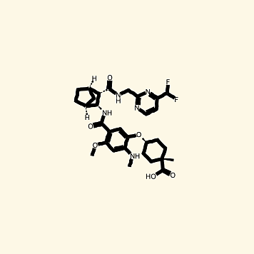 CNc1cc(OC)c(C(=O)N[C@@H]2[C@H]3CC[C@H](C3)[C@@H]2C(=O)NCc2nccc(C(F)F)n2)cc1O[C@H]1CC[C@@](C)(C(=O)O)CC1